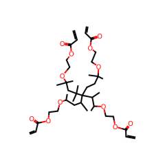 C=CC(=O)OCCOC(C)CC(C)C(CCC(C)(C)OCCOC(=O)C=C)(C(C)C(C)OCCOC(=O)C=C)C(C)(C)CC(C)(C)OCCOC(=O)C=C